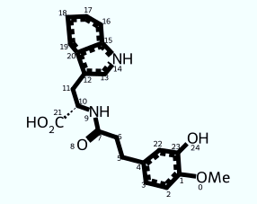 COc1ccc(CCC(=O)N[C@@H](Cc2c[nH]c3ccccc23)C(=O)O)cc1O